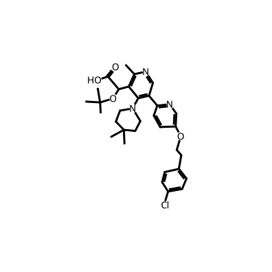 Cc1ncc(-c2ccc(OCCc3ccc(Cl)cc3)cn2)c(N2CCC(C)(C)CC2)c1C(OC(C)(C)C)C(=O)O